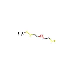 CSSCCOCCS